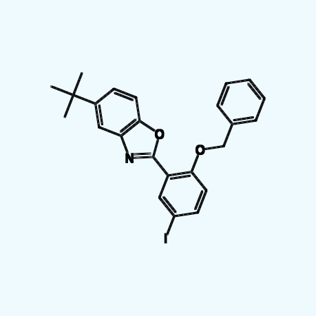 CC(C)(C)c1ccc2oc(-c3cc(I)ccc3OCc3ccccc3)nc2c1